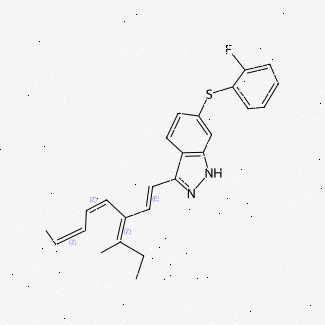 C\C=C/C=C\C(\C=C\c1n[nH]c2cc(Sc3ccccc3F)ccc12)=C(/C)CC